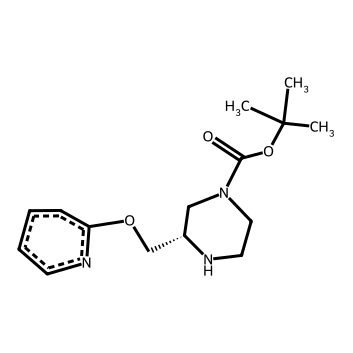 CC(C)(C)OC(=O)N1CCN[C@H](COc2ccccn2)C1